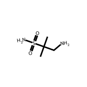 CC(C)(CN)S(N)(=O)=O